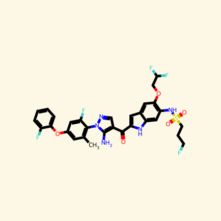 Cc1cc(Oc2ccccc2F)cc(F)c1-n1ncc(C(=O)c2cc3cc(OCC(F)F)c(NS(=O)(=O)CCCF)cc3[nH]2)c1N